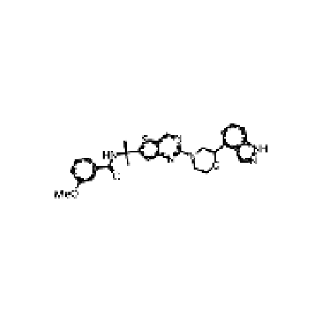 COc1cccc(C(=O)NC(C)(C)c2cc3nc(N4CCOC(c5cccc6[nH]ncc56)C4)ncc3s2)c1